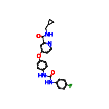 O=C(Nc1ccc(F)cc1)Nc1ccc(Oc2ccnc(C(=O)NCC3CC3)c2)cc1